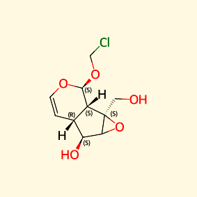 OC[C@]12OC1[C@@H](O)[C@@H]1C=CO[C@@H](OCCl)[C@@H]12